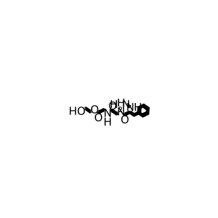 NNC(Cc1ccccc1)C(=O)NCC(=O)NCC(=O)OCCO